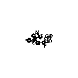 Cc1ccc([S+]([O-])n2c(-c3cccc(-c4cc(F)c(CN=O)c(SCC(=O)N=O)c4)c3)c(-c3ccsc3C#N)c3ccccc32)cc1